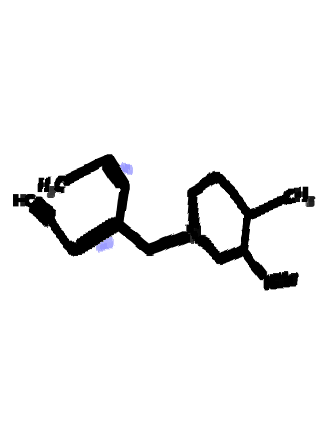 C#C/C=C(\C=C/C)CN1CCC(C)C(NC)C1